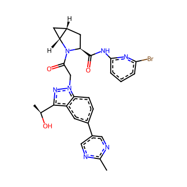 Cc1ncc(-c2ccc3c(c2)c([C@H](C)O)nn3CC(=O)N2[C@@H]3C[C@@H]3C[C@H]2C(=O)Nc2cccc(Br)n2)cn1